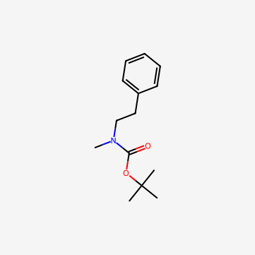 CN(CCc1ccccc1)C(=O)OC(C)(C)C